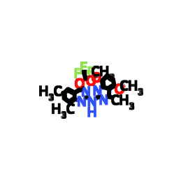 COc1ccc(OC)c2c(C)nc(Nc3nc(OC(=O)C(F)(F)F)c4cc(C)cc(C)c4n3)nc12